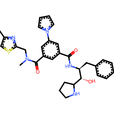 Cc1csc(CN(C)C(=O)c2cc(C(=O)N[C@@H](Cc3ccccc3)[C@H](O)C3CCCN3)cc(-n3cccc3)c2)n1